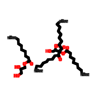 CCCCCCCCCCCCCCCCCC(=O)OC(C(=O)CCCCCCCCCCCCCCCCC)(C(=O)CCCCCCCCCCCCCCCCC)C(O)CO.CCCCCCCCCCCCCCCCCC(=O)OCC(O)CO